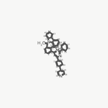 C=C(c1cccc(-c2cc(-c3ccc(-c4ccncc4)cc3)nc(-c3ccccc3)n2)c1/C=C\C)n1c2ccccc2c2ccccc21